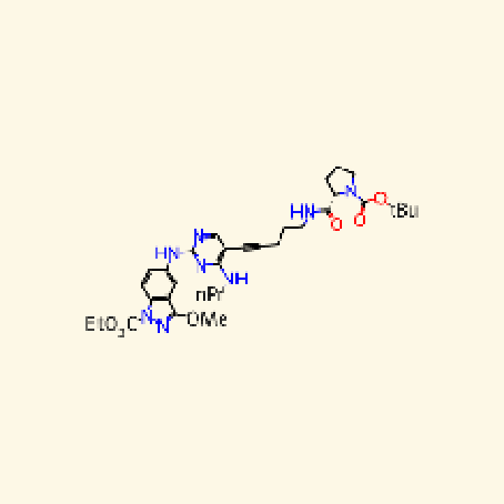 CCCNc1nc(Nc2ccc3c(c2)c(OC)nn3C(=O)OCC)ncc1C#CCCCNC(=O)[C@@H]1CCCN1C(=O)OC(C)(C)C